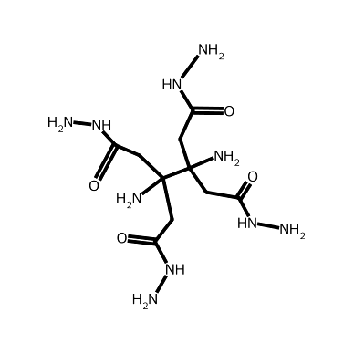 NNC(=O)CC(N)(CC(=O)NN)C(N)(CC(=O)NN)CC(=O)NN